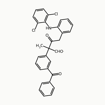 CC([C]=O)(C(=O)Cc1ccccc1Nc1c(Cl)cccc1Cl)c1cccc(C(=O)c2ccccc2)c1